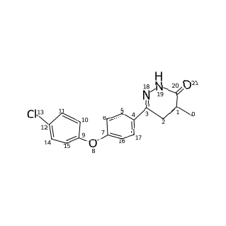 CC1CC(c2ccc(Oc3ccc(Cl)cc3)cc2)=NNC1=O